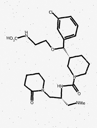 CNC[C@H](CN1CCCCC1=O)NC(=O)N1CCC[C@@H](C(OCCNC(=O)O)c2cccc(Cl)c2)C1